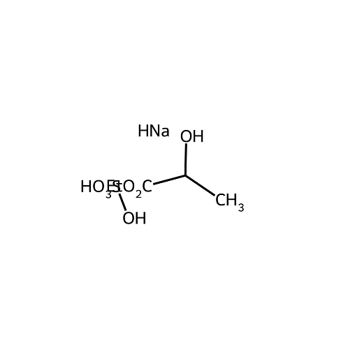 CCOC(=O)C(C)O.O=S(=O)(O)O.[NaH]